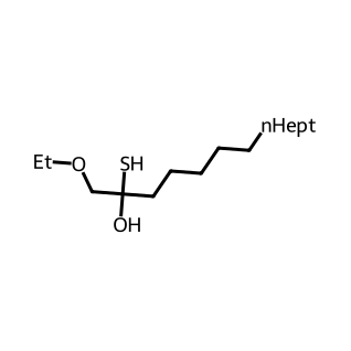 CCCCCCCCCCCCC(O)(S)COCC